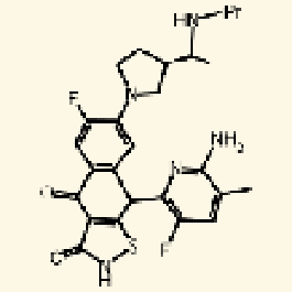 Cc1cc(F)c(C2c3cc(N4CC[C@@H](C(C)NC(C)C)C4)c(F)cc3C(=O)c3c2s[nH]c3=O)nc1N